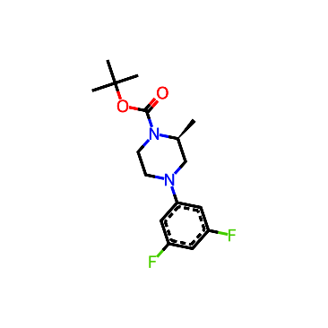 C[C@H]1CN(c2cc(F)cc(F)c2)CCN1C(=O)OC(C)(C)C